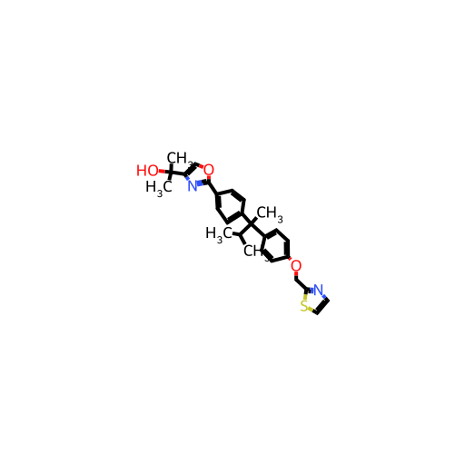 CC(C)C(C)(c1ccc(OCc2nccs2)cc1)c1ccc(-c2nc(C(C)(C)O)co2)cc1